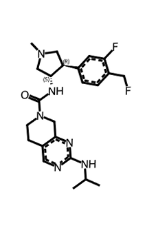 CC(C)Nc1ncc2c(n1)CN(C(=O)N[C@@H]1CN(C)C[C@H]1c1ccc(CF)c(F)c1)CC2